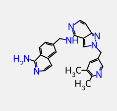 Cc1cc(Cn2cc3c(NCc4ccc5c(N)nccc5c4)nccc3n2)cnc1C